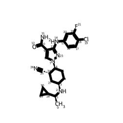 C[C@H](N[C@@H]1CC[C@H](n2cc(C(N)=O)c(Nc3ccc(Cl)c(F)c3)n2)[C@@H](C#N)C1)C1CC1